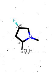 CN1C[C@H](F)C[C@@H]1C(=O)O